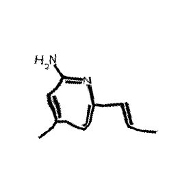 CC=Cc1cc(C)cc(N)n1